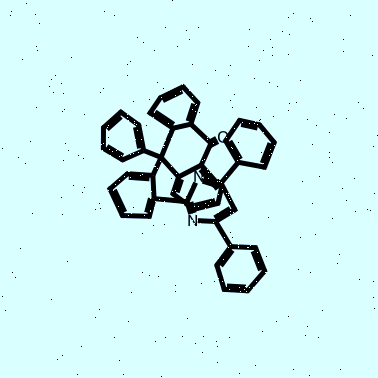 O=C1c2ccccc2C(c2ccccc2)(c2ccccc2-c2nc(-c3ccccc3)cc(-c3ccccc3)n2)c2ccccc21